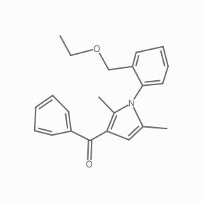 CCOCc1ccccc1-n1c(C)cc(C(=O)c2ccccc2)c1C